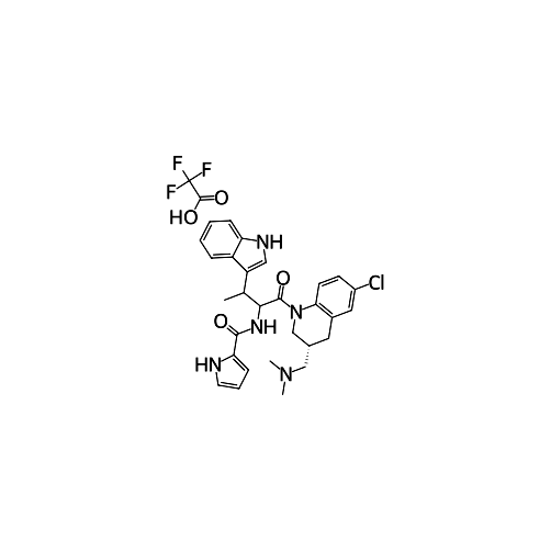 CC(c1c[nH]c2ccccc12)C(NC(=O)c1ccc[nH]1)C(=O)N1C[C@@H](CN(C)C)Cc2cc(Cl)ccc21.O=C(O)C(F)(F)F